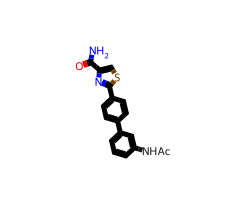 CC(=O)Nc1cccc(-c2ccc(-c3nc(C(N)=O)cs3)cc2)c1